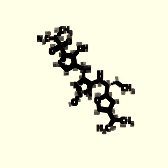 CC[C@@H](Nc1n[s+]([O-])nc1Nc1csc(S(=O)(=O)N(C)C)c1O)C1CC(C(C)C)=CO1